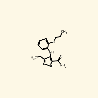 CCCOc1ccccc1Nc1c(CC)n[nH]c1C(N)=O